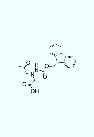 CC(=O)CN(CC(=O)O)NC(=O)OCC1c2ccccc2-c2ccccc21